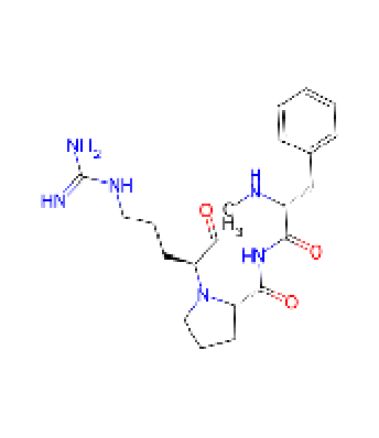 CN[C@H](Cc1ccccc1)C(=O)NC(=O)[C@@H]1CCCN1[C@H](C=O)CCCNC(=N)N